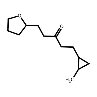 CC1CC1CCC(=O)CCC1CCCO1